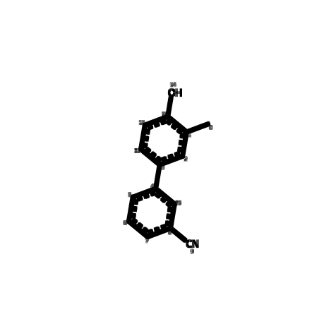 Cc1cc(-c2cccc(C#N)c2)ccc1O